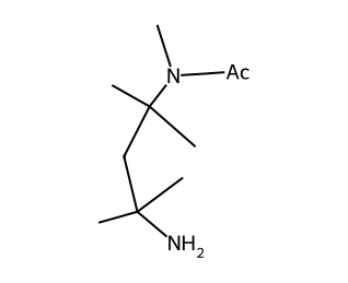 CC(=O)N(C)C(C)(C)CC(C)(C)N